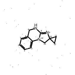 c1ccc2c(c1)CNC1=NC3(CC3)CN12